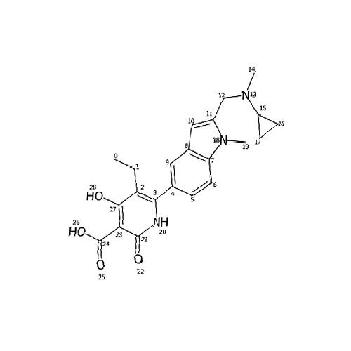 CCc1c(-c2ccc3c(c2)cc(CN(C)C2CC2)n3C)[nH]c(=O)c(C(=O)O)c1O